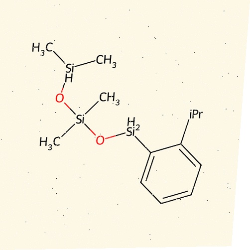 CC(C)c1ccccc1[SiH2]O[Si](C)(C)O[SiH](C)C